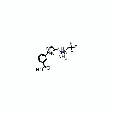 N/C(=N/CC(F)(F)F)Nc1cnn(-c2cccc(C(=O)O)c2)n1